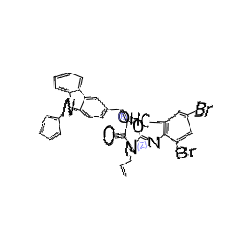 C=CCN1C(=O)/C(=C\c2ccc3c(c2)c2ccccc2n3-c2ccccc2)O/C1=N\c1c(Br)cc(Br)cc1C=O